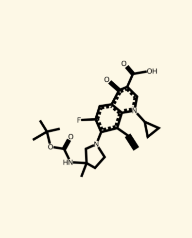 C#Cc1c(N2CCC(C)(NC(=O)OC(C)(C)C)C2)c(F)cc2c(=O)c(C(=O)O)cn(C3CC3)c12